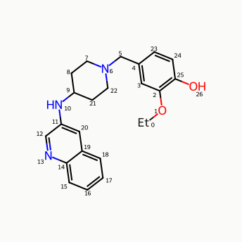 CCOc1cc(CN2CCC(Nc3cnc4ccccc4c3)CC2)ccc1O